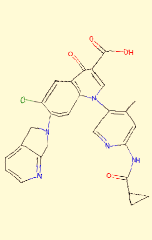 Cc1cc(NC(=O)C2CC2)ncc1-n1cc(C(=O)O)c(=O)c2cc(Cl)c(N3Cc4cccnc4C3)cc21